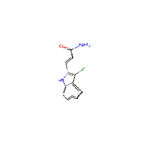 NC(=O)C=Cc1[nH]c2ccccc2c1F